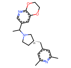 Cc1cc(C[C@@H]2CCN(C(C)c3cnc4c(c3)OCCO4)C2)cc(C)n1